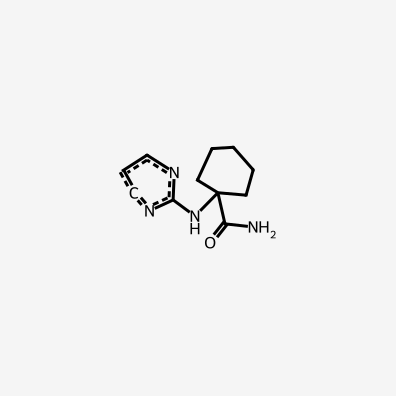 NC(=O)C1(Nc2ncccn2)CCCCC1